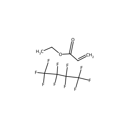 C=CC(=O)OCC.FC(F)(F)C(F)(F)C(F)(F)C(F)(F)F